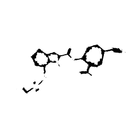 CCS(=O)(=O)Nc1cccc2cc(C(=O)Nc3ccc(C#N)cc3C(=O)O)n(C)c12